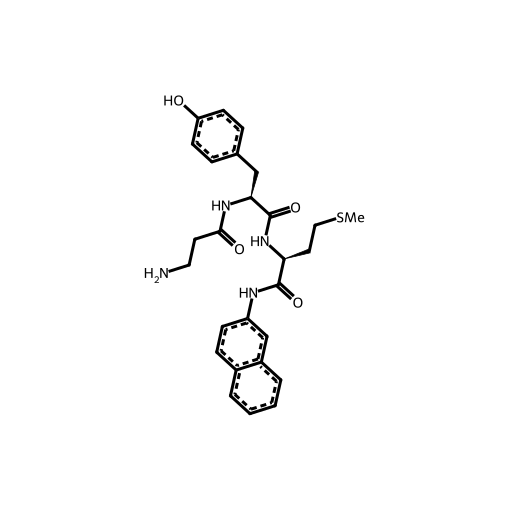 CSCC[C@H](NC(=O)[C@H](Cc1ccc(O)cc1)NC(=O)CCN)C(=O)Nc1ccc2ccccc2c1